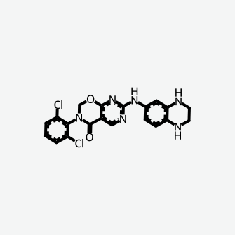 O=C1c2cnc(Nc3ccc4c(c3)NCCN4)nc2OCN1c1c(Cl)cccc1Cl